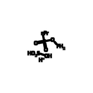 CCCS(=O)(=O)OP.O=S(=O)(O)O.[H+]